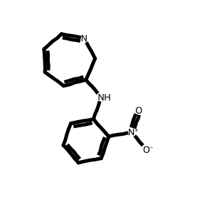 O=[N+]([O-])c1ccccc1NC1=CC=CC=NC1